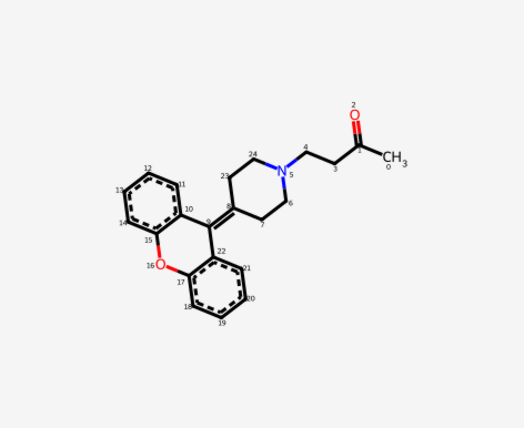 CC(=O)CCN1CCC(=C2c3ccccc3Oc3ccccc32)CC1